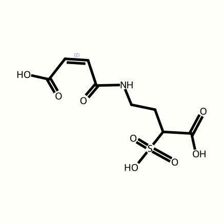 O=C(O)/C=C\C(=O)NCCC(C(=O)O)S(=O)(=O)O